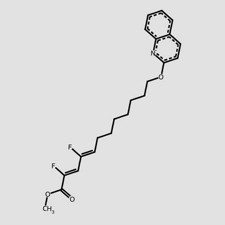 COC(=O)C(F)=CC(F)=CCCCCCCCOc1ccc2ccccc2n1